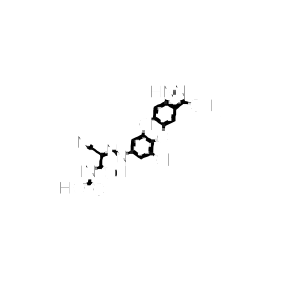 Cc1n[nH]c2ccc(Oc3c(Cl)cc(N/N=C(/C#N)C(=O)NC(=O)O)cc3Cl)cc12